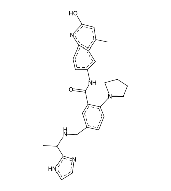 Cc1cc(O)nc2ccc(NC(=O)c3cc(CNC(C)c4ncc[nH]4)ccc3N3CCCC3)cc12